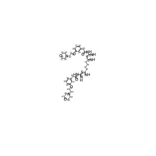 N=C(CCCCC(=N)SC(=N)NC(=O)Cc1cccc(OCCN2CCOCC2)c1)SC(=N)NC(=O)Cc1cccc(OCCN2CCOCC2)c1